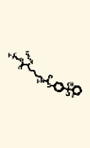 CCOC(=O)C(CCCCNC(=O)Oc1ccc(C(C)(C)c2ccccc2)cc1)N=C=O